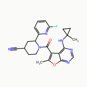 Cc1oc2ncnc(NC3(C)CC3)c2c1C(=O)N1CCC(C#N)CC1c1cccc(F)n1